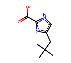 CC(C)(C)Cc1c[nH]c(C(=O)O)n1